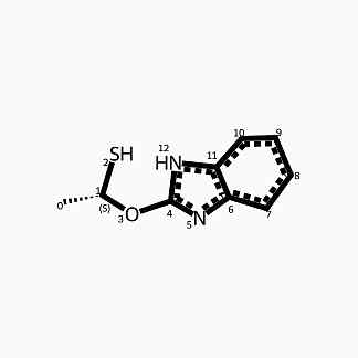 C[C@H](S)Oc1nc2ccccc2[nH]1